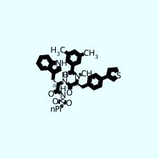 CCCS(=O)(=O)NC(=O)[C@H](Cc1c[nH]c2ccccc12)NC(=O)[C@H](Cc1ccc(-c2ccsc2)cc1)N(C)C(=O)c1cc(C)cc(C)c1